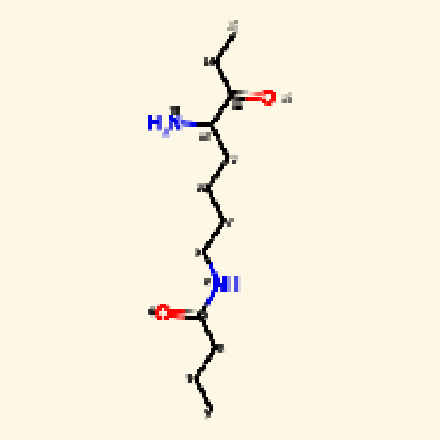 CCCC(=O)NCCCCC(N)C(=O)CC